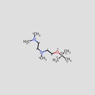 CN(C)CCN(C)CCO[Si](C)(C)C